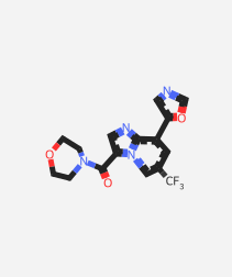 O=C(c1cnc2c(-c3cnco3)cc(C(F)(F)F)cn12)N1CCOCC1